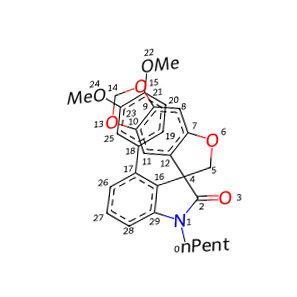 CCCCCN1C(=O)C2(COc3cc4c(cc32)OCO4)c2c(-c3ccc(OC)c(OC)c3)cccc21